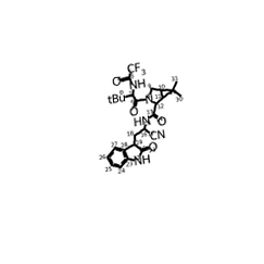 CC(C)(C)C(NC(=O)C(F)(F)F)C(=O)N1CC2C(C1C(=O)NC(C#N)CC1C(=O)Nc3ccccc31)C2(C)C